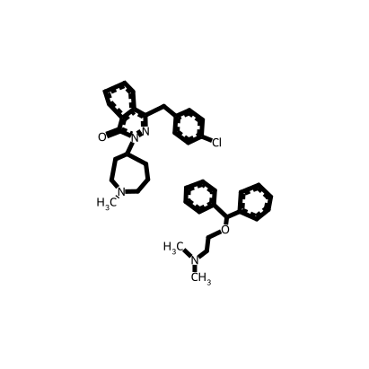 CN(C)CCOC(c1ccccc1)c1ccccc1.CN1CCCC(n2nc(Cc3ccc(Cl)cc3)c3ccccc3c2=O)CC1